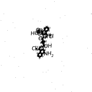 Nc1cc2c(c3ccccc13)[C@H](CCl)CN2C(O)C12CC(C(=O)N3C[C@@H](CCl)c4c3cc(OP(=O)(O)O)c3ccccc43)(C1)C2